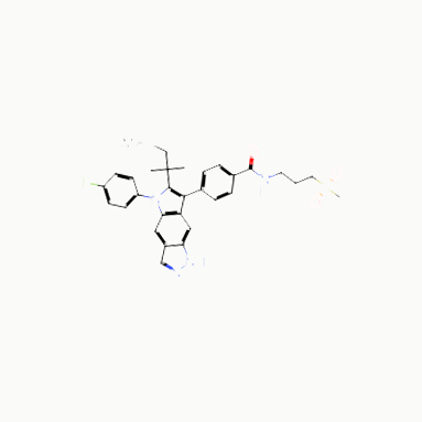 COCC(C)(C)c1c(-c2ccc(C(=O)NCCCS(C)(=O)=O)cc2)c2cc3[nH]ncc3cc2n1-c1ccc(F)cc1